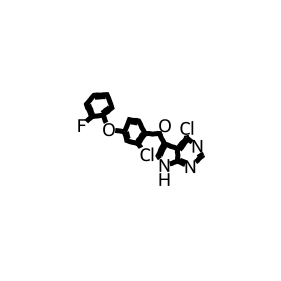 O=C(c1ccc(Oc2ccccc2F)cc1Cl)c1c[nH]c2ncnc(Cl)c12